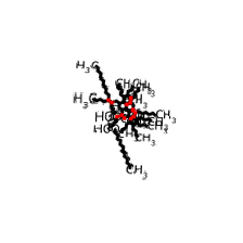 CCCCCCCCCCCCCOP(O)OCCC(C)C(CC(CCCCCCC)c1cc(CCCC)c(CCCC)c(CCCC)c1CCCC)C(CCC)C(CC(CCCCCCC)c1cc(CCCC)c(CCCC)c(CCCC)c1CCCC)C(C)CCOP(O)OCCCCCCCCCCCCC